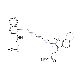 C=C(O)CCNc1ccc2ccccc2c1C(C)(C)C/C=C/C=C/C=C/C=C1/N(CCC(=O)C#N)c2ccc3ccccc3c2C1(C)C